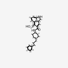 O=C(NC1CCN(CCCc2ccccc2)CC1)C1=CC2CNC3=CC=CC(=C1S(=O)(=O)O)N32